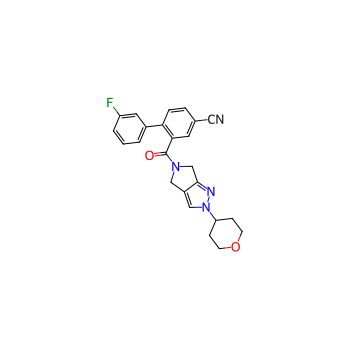 N#Cc1ccc(-c2cccc(F)c2)c(C(=O)N2Cc3cn(C4CCOCC4)nc3C2)c1